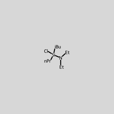 CCC[Si](Cl)(C(C)CC)N(CC)CC